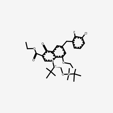 CCOC(=O)c1cn([C@H](CO[Si](C)(C)C(C)(C)C)C(C)(C)C)c2c(OCC)cc(Cc3cccc(Cl)c3F)cc2c1=O